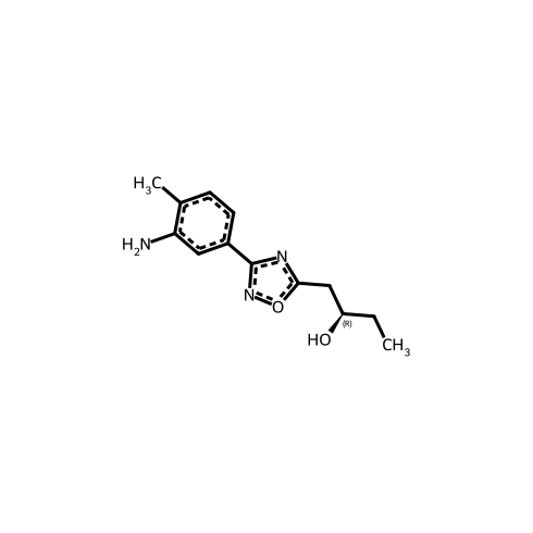 CC[C@@H](O)Cc1nc(-c2ccc(C)c(N)c2)no1